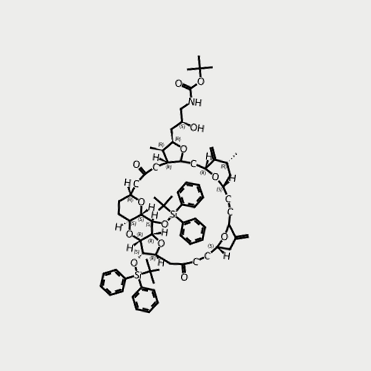 C=C1C[C@@H]2CCC(=O)C[C@H]3O[C@H]4[C@@H](O[Si](c5ccccc5)(c5ccccc5)C(C)(C)C)[C@H]5O[C@H](CC[C@@H]5O[C@H]4[C@H]3O[Si](c3ccccc3)(c3ccccc3)C(C)(C)C)CC(=O)C[C@H]3C(C[C@H]4O[C@@H](CCC1O2)C[C@@H](C)C4=C)O[C@H](C[C@H](O)CNC(=O)OC(C)(C)C)[C@@H]3C